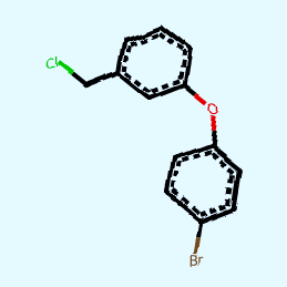 ClCc1cccc(Oc2ccc(Br)cc2)c1